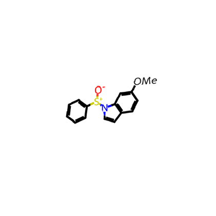 COc1ccc2ccn([S+]([O-])c3ccccc3)c2c1